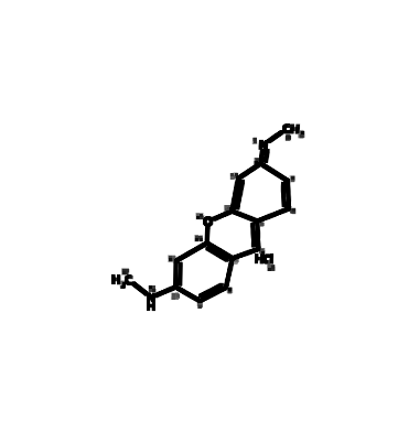 CN=c1ccc2cc3ccc(NC)cc3oc-2c1.Cl